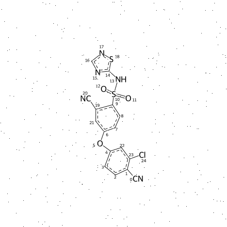 N#Cc1ccc(Oc2ccc(S(=O)(=O)Nc3ncns3)c(C#N)c2)cc1Cl